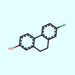 Oc1ccc2c(c1)CCc1cc(Br)ccc1-2